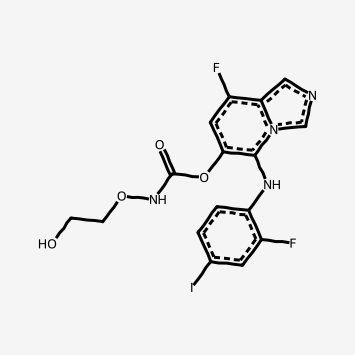 O=C(NOCCO)Oc1cc(F)c2cncn2c1Nc1ccc(I)cc1F